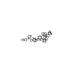 Cc1nn(C)cc1S(=O)(=O)NC(=O)c1ccc(-n2ccc(OCC(C)(CO)C(F)(F)F)n2)nc1N1C[C@@H](C)C(C)(C)C1(C)C